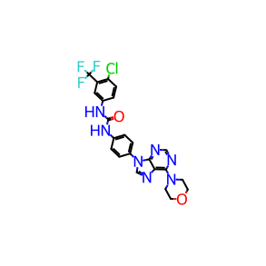 O=C(Nc1ccc(-n2cnc3c(N4CCOCC4)ncnc32)cc1)Nc1ccc(Cl)c(C(F)(F)F)c1